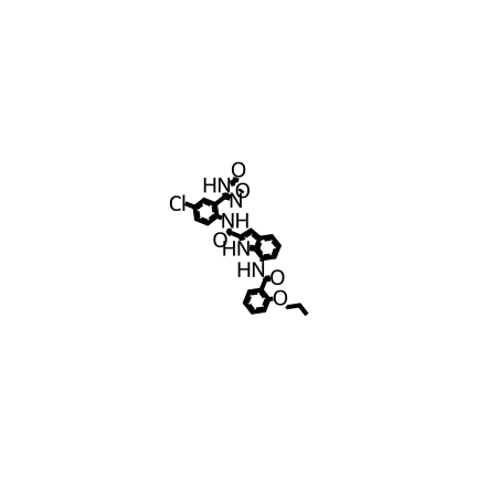 CCCOc1ccccc1C(=O)Nc1cccc2cc(C(=O)Nc3ccc(Cl)cc3-c3noc(=O)[nH]3)[nH]c12